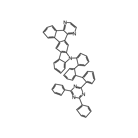 c1ccc(-c2nc(-c3ccccc3)nc(-c3ccccc3-c3ccccc3-c3ccccc3-n3c4ccccc4c4cc5c6ccccc6c6nccnc6c5cc43)n2)cc1